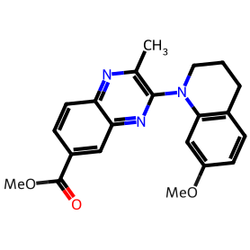 COC(=O)c1ccc2nc(C)c(N3CCCc4ccc(OC)cc43)nc2c1